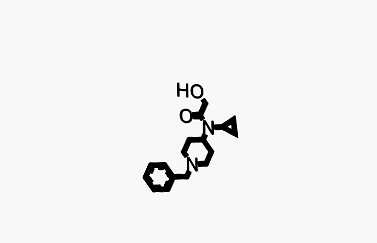 O=C(CO)N(C1CC1)C1CCN(Cc2ccccc2)CC1